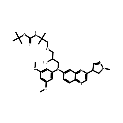 COc1cc(OC)cc(N(CC(O)COCC(C)(C)NC(=O)OC(C)(C)C)c2ccc3ncc(C4C=NN(C)C4)nc3c2)c1